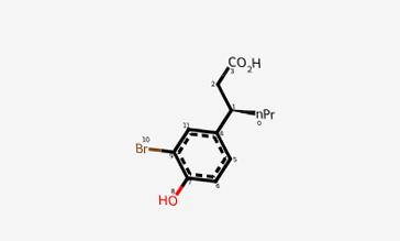 CCC[C@H](CC(=O)O)c1ccc(O)c(Br)c1